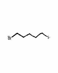 [S]CCCCCBr